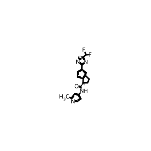 Cc1cc(NC(=O)[C@@H]2CCc3cc(-c4noc(C(F)F)n4)ccc32)ccn1